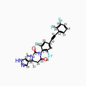 CN1C(=O)N(c2c(F)cc(C#Cc3cccc(F)c3F)cc2F)C(=O)C[C@@]1(C)c1cn[nH]c1